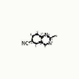 Cc1ncc2cc(C#N)ccc2n1